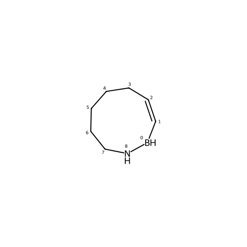 B1/C=C\CCCCCN1